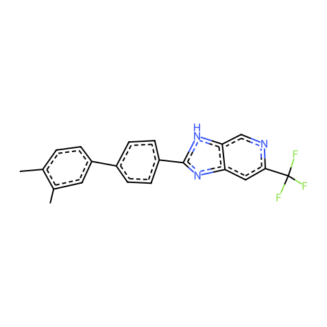 Cc1ccc(-c2ccc(-c3nc4cc(C(F)(F)F)ncc4[nH]3)cc2)cc1C